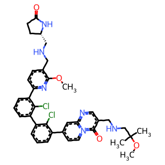 COc1nc(-c2cccc(-c3cccc(-c4ccn5c(=O)c(CNCC(C)(C)OC)cnc5c4)c3Cl)c2Cl)ccc1CNC[C@@H]1CCC(=O)N1